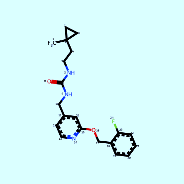 O=C(NCCC1(C(F)(F)F)CC1)NCc1ccnc(OCc2ccccc2F)c1